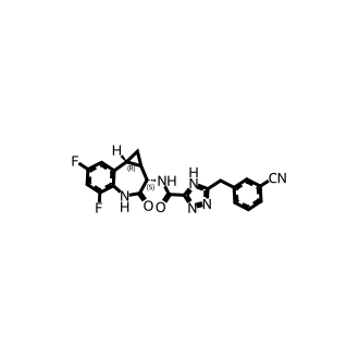 N#Cc1cccc(Cc2nnc(C(=O)N[C@@H]3C(=O)Nc4c(F)cc(F)cc4[C@@H]4CC34)[nH]2)c1